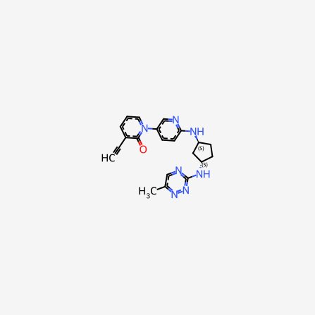 C#Cc1cccn(-c2ccc(N[C@H]3CC[C@H](Nc4ncc(C)nn4)C3)nc2)c1=O